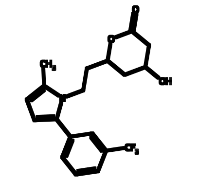 Cc1ccc(-c2cccc(C(F)(F)F)c2)n1CCC1CC(O)CC(=O)O1